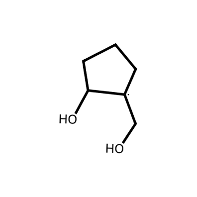 OC[C]1CCCC1O